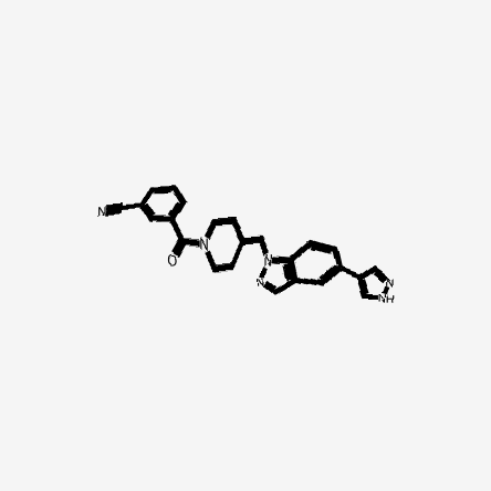 N#Cc1cccc(C(=O)N2CCC(Cn3ncc4cc(-c5cn[nH]c5)ccc43)CC2)c1